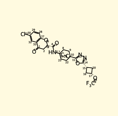 O=C1C[C@@H](C(=O)NC23CCC(c4nnc([C@H]5C[C@@H](OC(F)(F)F)C5)o4)(CC2)CC3)Oc2ccc(Cl)cc21